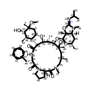 CO[C@]1(C)C[C@H](O[C@H]2[C@H](C)[C@@H](O[C@@H]3O[C@H](C)C[C@H]4[C@H]3O/C(=N/C(C)C)N4C)[C@](C)(O)C[C@@H](C)CN(C)C(=O)[C@@H]3CCCN3C(=O)[C@H](Cc3ccccc3)NC(=O)[C@@H]2C)C[C@@H](C)[C@@H]1O